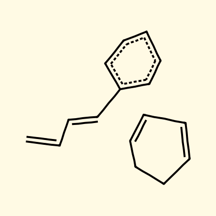 C1=CCCC=C1.C=CC=Cc1ccccc1